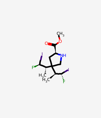 COC(=O)[C@@H]1CC([C@H](C)[C@@H](F)I)([C@H](C)[C@@H](F)I)CN1